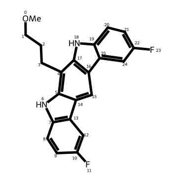 COCCCc1c2[nH]c3ccc(F)cc3c2cc2c1[nH]c1ccc(F)cc12